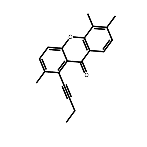 CCC#Cc1c(C)ccc2oc3c(C)c(C)ccc3c(=O)c12